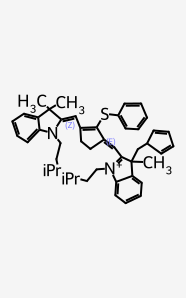 CC(C)CCN1/C(=C\C2=C(Sc3ccccc3)C(=C/C3=[N+](CCC(C)C)c4ccccc4C3(C)CC3C=CC=C3)/CC2)C(C)(C)c2ccccc21